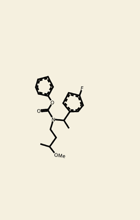 COC(C)CCN(C(=O)Oc1ccccc1)C(C)c1ccc(F)cc1